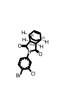 O=C1[C@@H]2[C@H](C(=O)N1c1ccc(Br)c(Cl)c1)[C@@H]1C=C[C@H]2CC1